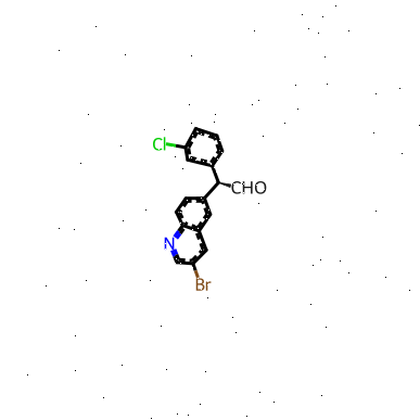 O=C[C@H](c1cccc(Cl)c1)c1ccc2ncc(Br)cc2c1